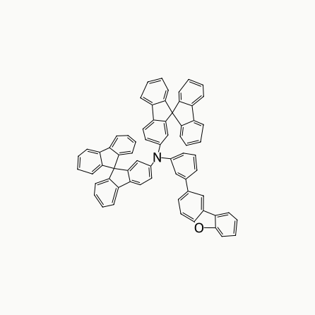 c1cc(-c2ccc3oc4ccccc4c3c2)cc(N(c2ccc3c(c2)C2(c4ccccc4-c4ccccc42)c2ccccc2-3)c2ccc3c(c2)C2(c4ccccc4-c4ccccc42)c2ccccc2-3)c1